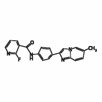 Cc1ccc2nc(-c3ccc(NC(=O)c4cccnc4F)cc3)cn2c1